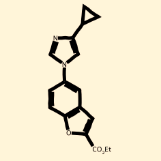 CCOC(=O)c1cc2cc(-n3cnc(C4CC4)c3)ccc2o1